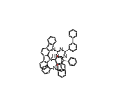 c1ccc(-c2cccc(C3=NC(c4ccccc4)NC(n4c5ccccc5c5ccc6c7ccccc7n(-c7ccc(-c8ccccc8)c8c9ccccc9n(-c9ccccc9)c78)c6c54)=N3)c2)cc1